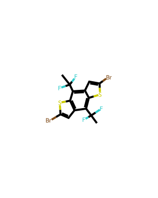 CC(F)(F)c1c2cc(Br)sc2c(C(C)(F)F)c2cc(Br)sc12